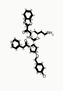 NCCCC[C@H](NC(=O)[C@@H]1C[C@@H](OCc2ccc(Cl)cc2)CN1C(=O)Cc1ccncc1)C(=O)c1nc2ccccc2o1